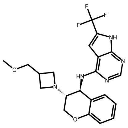 COCC1CN([C@H]2COc3ccccc3[C@@H]2Nc2ncnc3[nH]c(C(F)(F)F)cc23)C1